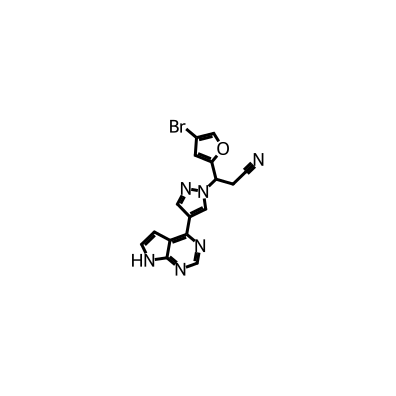 N#CCC(c1cc(Br)co1)n1cc(-c2ncnc3[nH]ccc23)cn1